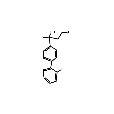 CC(O)(CCBr)c1ccc(-c2ccccc2F)cc1